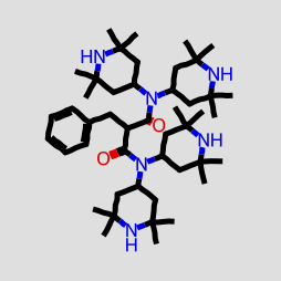 CC1(C)CC(N(C(=O)C(Cc2ccccc2)C(=O)N(C2CC(C)(C)NC(C)(C)C2)C2CC(C)(C)NC(C)(C)C2)C2CC(C)(C)NC(C)(C)C2)CC(C)(C)N1